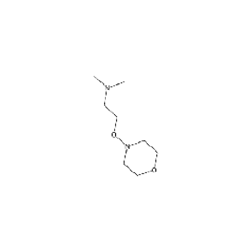 CN(C)CCON1CCOCC1